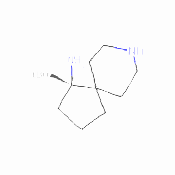 CC(C)(C)[C@]1(N)CCCC12CCNCC2